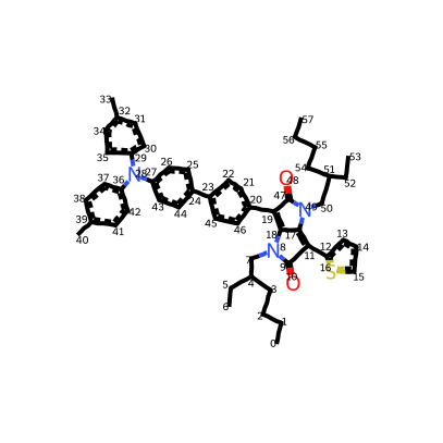 CCCCC(CC)CN1C(=O)C(c2cccs2)=C2C1=C(c1ccc(-c3ccc(N(c4ccc(C)cc4)c4ccc(C)cc4)cc3)cc1)C(=O)N2CC(CC)CCCC